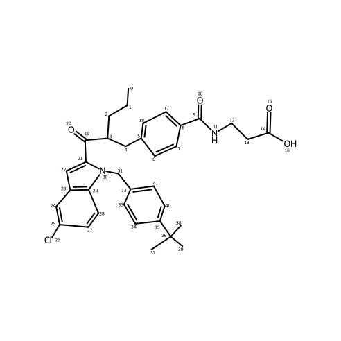 CCCC(Cc1ccc(C(=O)NCCC(=O)O)cc1)C(=O)c1cc2cc(Cl)ccc2n1Cc1ccc(C(C)(C)C)cc1